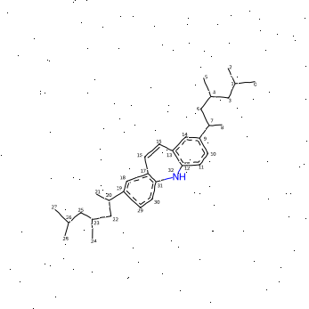 CC(C)CC(C)CC(C)c1ccc2c(c1)C=Cc1cc(C(C)CC(C)CC(C)C)ccc1N2